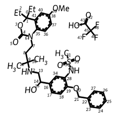 CCC1(CC)OC(=O)N(CCC(C)(C)NCC(O)c2ccc(OCc3ccccc3)c(NS(C)(=O)=O)c2)c2ccc(OC)cc21.O=C(O)C(F)(F)F